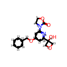 O=C1OCCN1c1cc(OCc2ccccc2)cc(C2(O)COC2)n1